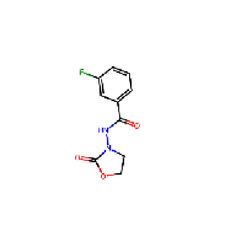 O=C(NN1CCOC1=O)c1cccc(F)c1